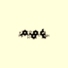 Cc1cc(Oc2cccc3c(C(=O)Nc4cccc(C(F)(F)F)c4)cccc23)c2cc[nH]c2n1